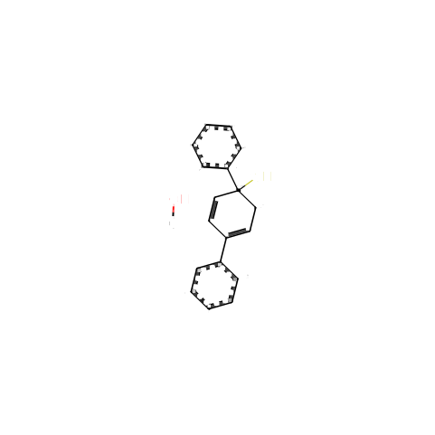 CO.SC1(c2ccccc2)C=CC(c2ccccc2)=CC1